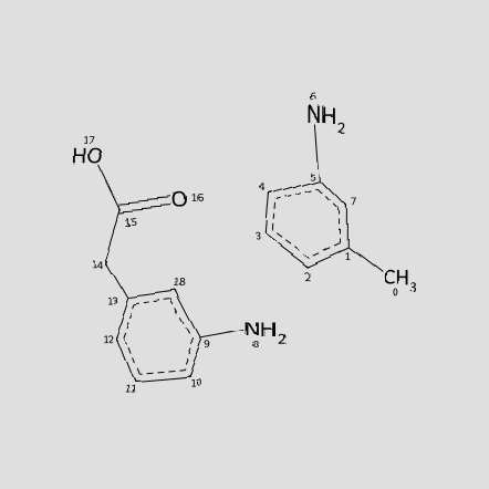 Cc1cccc(N)c1.Nc1cccc(CC(=O)O)c1